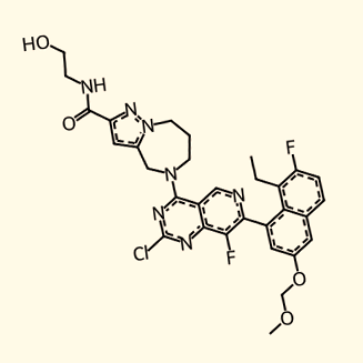 CCc1c(F)ccc2cc(OCOC)cc(-c3ncc4c(N5CCCn6nc(C(=O)NCCO)cc6C5)nc(Cl)nc4c3F)c12